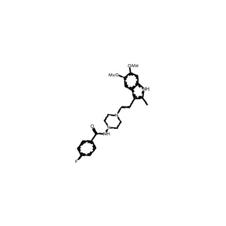 COc1cc2[nH]c(C)c(CCN3CCN(NC(=O)c4ccc(F)cc4)CC3)c2cc1OC